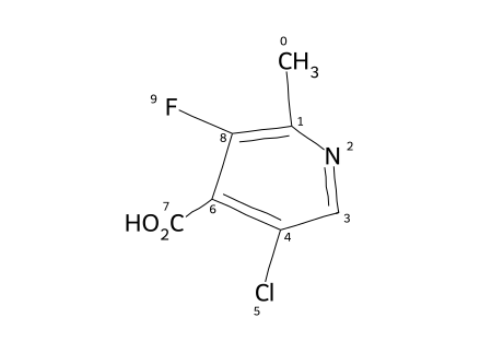 Cc1ncc(Cl)c(C(=O)O)c1F